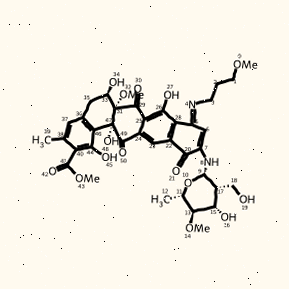 COCCC/N=C1\C=C(N[C@H]2O[C@@H](C)[C@H](OC)[C@@H](O)[C@H]2CO)C(=O)c2cc3c(c(O)c21)C(=O)[C@]1(OC)[C@H](O)Cc2cc(C)c(C(=O)OC)c(O)c2[C@]1(O)C3=O